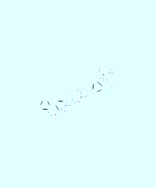 [2H]C([2H])(Oc1cc(C2C[C@H](C(=O)NCc3cccc(C(=O)N(C)c4ccc(F)cc4)n3)N(C(C)=O)C2)ccc1OC(F)F)C1CC1